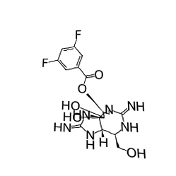 N=C1N[C@H]2[C@H](CO)NC(=N)N3C[C@H](OC(=O)c4cc(F)cc(F)c4)C(O)(O)[C@]23N1